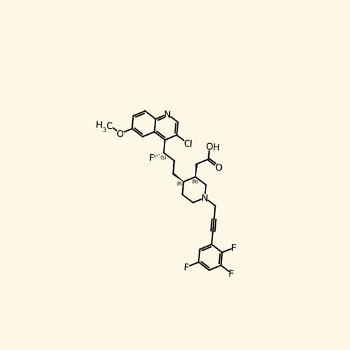 COc1ccc2ncc(Cl)c([C@@H](F)CC[C@@H]3CCN(CC#Cc4cc(F)cc(F)c4F)C[C@@H]3CC(=O)O)c2c1